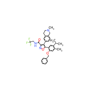 Cc1cc(OCc2ccccc2)c(-c2onc(C(=O)NCC(F)(F)F)c2-c2ccc3c(c2)CCN(C)C3)cc1C(C)C